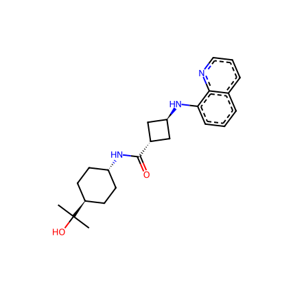 CC(C)(O)[C@H]1CC[C@H](NC(=O)[C@H]2C[C@H](Nc3cccc4cccnc34)C2)CC1